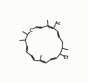 CCC1/C=C/C=C(C)/C=C/C=C/C(C)C(C)C/C=C/C(C)=C(C(C)=O)\C=C\CC1C